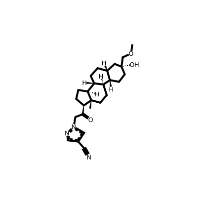 COC[C@@]1(O)CC[C@H]2[C@H](CC[C@@H]3[C@@H]2CC[C@]2(C)[C@@H](C(=O)Cn4cc(C#N)cn4)CC[C@@H]32)C1